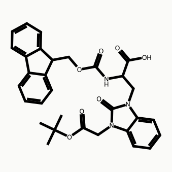 CC(C)(C)OC(=O)Cn1c(=O)n(CC(NC(=O)OCC2c3ccccc3-c3ccccc32)C(=O)O)c2ccccc21